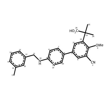 COc1c(C#N)cc(-c2ccc(NCc3cccc(C)c3)nc2)cc1C(C)(C)C(=O)O